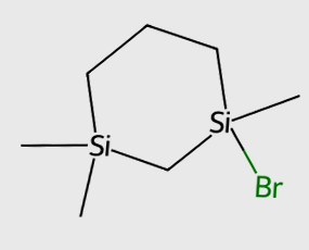 C[Si]1(C)CCC[Si](C)(Br)C1